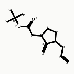 C=CCC1CCC(CC(=O)OC(C)(C)C)C1=C